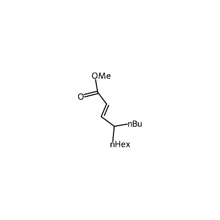 CCCCCCC(/C=C/C(=O)OC)CCCC